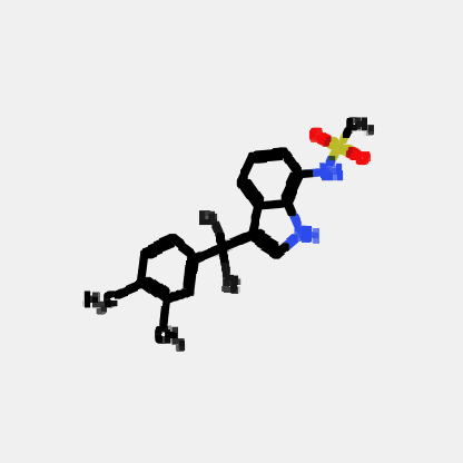 CCC(CC)(c1ccc(C)c(C)c1)c1c[nH]c2c(NS(C)(=O)=O)cccc12